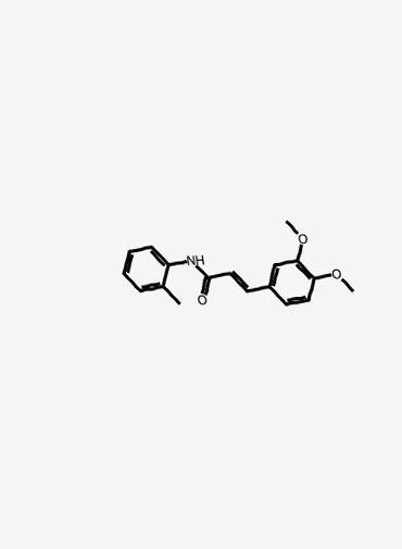 COc1ccc(/C=C/C(=O)Nc2ccccc2C)cc1OC